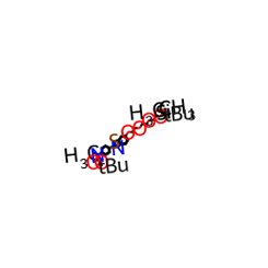 CN(C(=O)OC(C)(C)C)c1ccc(-c2nc3ccc(OCCOCCOCCO[Si](C)(C)C(C)(C)C)cc3s2)cc1